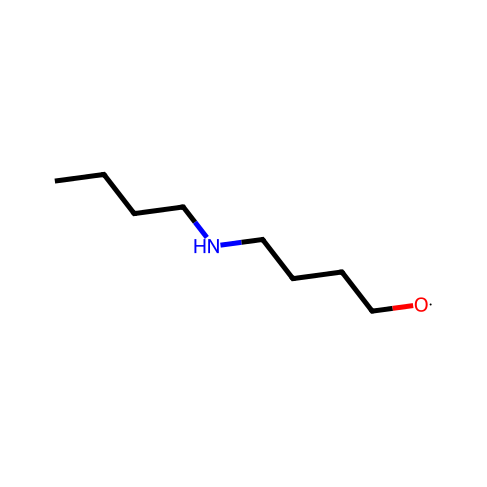 CCCCNCCCC[O]